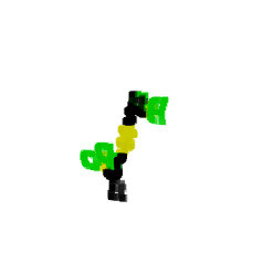 CCC(CCCSSSSCCCC(CC)CS(Cl)(Cl)Cl)CS(Cl)(Cl)Cl